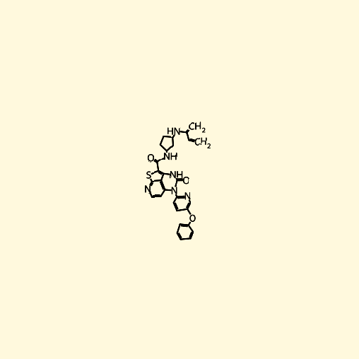 C=CC(=C)NC1CCC(NC(=O)c2sc3nccc4c3c2NC(=O)N4c2ccc(Oc3ccccc3)cn2)C1